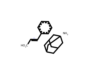 C1C2CC3CC1CC(C2)C3.N.O=C(O)/C=C/c1ccccc1